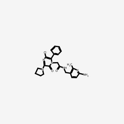 Cc1nc(N)ccc1CNC(=O)Cn1c(-c2ccccc2)c(Cl)nc(N2CCCC2)c1=O